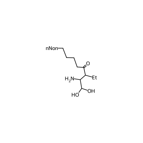 CCCCCCCCCCCCCC(=O)C(CC)C(N)C(O)O